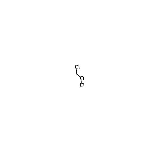 ClCOCl